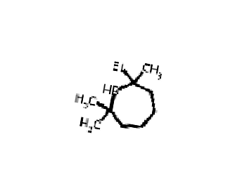 CCC1(C)BC(C)(C)CCCC1